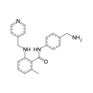 Cc1cccc(NCc2ccncc2)c1C(=O)Nc1ccc(CN)cc1